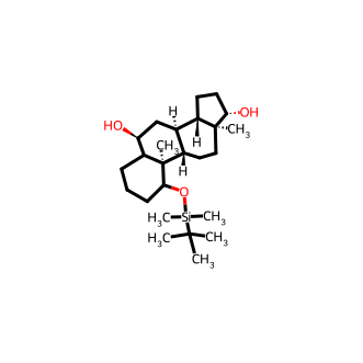 CC(C)(C)[Si](C)(C)OC1CCCC2[C@@H](O)C[C@@H]3[C@H](CC[C@]4(C)[C@@H](O)CC[C@@H]34)[C@@]12C